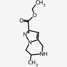 CCOC(=O)c1cc2n(n1)CC(C)NC2